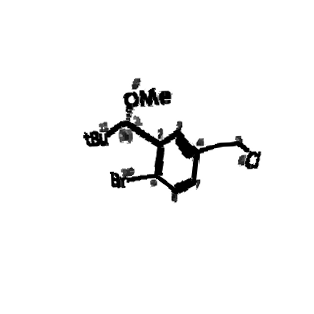 CO[C@H](c1cc(CCl)ccc1Br)C(C)(C)C